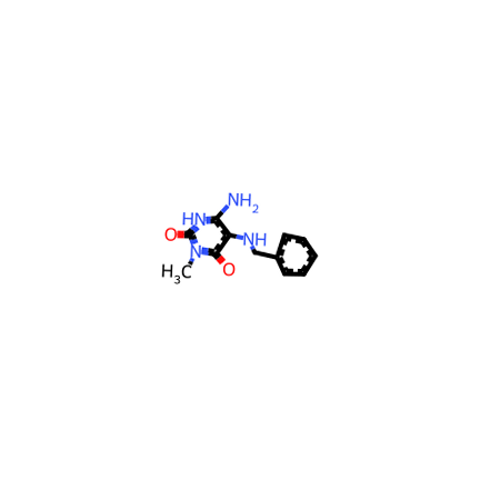 Cn1c(=O)[nH]c(N)c(NCc2ccccc2)c1=O